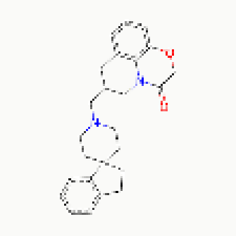 O=C1COc2cccc3c2N1CC(CN1CCC2(CCc4ccccc42)CC1)C3